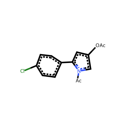 CC(=O)Oc1cc(-c2ccc(Cl)cc2)n(C(C)=O)c1